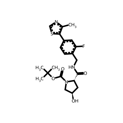 Cc1ncsc1-c1ccc(CNC(=O)[C@@H]2C[C@@H](O)CN2C(=O)OC(C)(C)C)c(F)c1